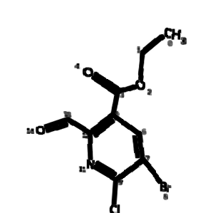 CCOC(=O)c1cc(Br)c(Cl)nc1C=O